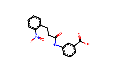 O=C(CCc1ccccc1[N+](=O)[O-])Nc1cccc(C(=O)O)c1